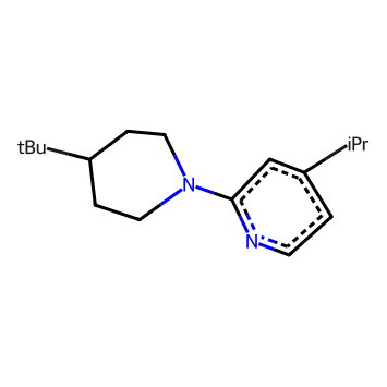 CC(C)c1ccnc(N2CCC(C(C)(C)C)CC2)c1